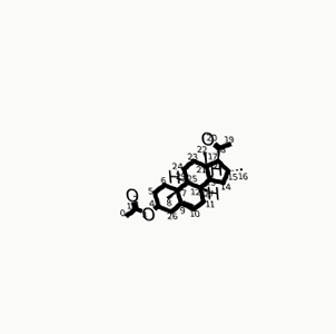 CC(=O)OC1CC[C@@]2(C)C(=CC[C@H]3[C@@H]4C[C@@H](C)[C@H](C(C)=O)[C@@]4(C)CC[C@@H]32)C1